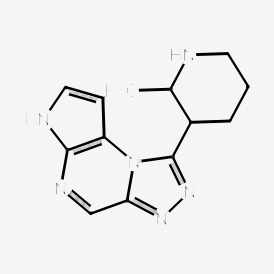 CC1NCCCC1c1nnc2cnc3[nH]ccc3n12